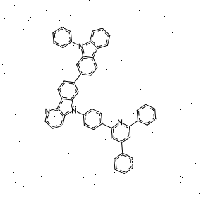 c1ccc(-c2cc(-c3ccccc3)nc(-c3ccc(-n4c5cc(-c6ccc7c8ccccc8n(-c8ccccc8)c7c6)ccc5c5ncccc54)cc3)c2)cc1